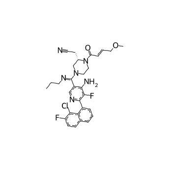 CCC/N=C(\c1cnc(-c2cccc3ccc(F)c(Cl)c23)c(F)c1N)N1CCN(C(=O)/C=C/COC)[C@@H](CC#N)C1